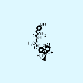 CN(CCNC(=O)[C@@H](N)Cc1ccc(O)cc1)C(=O)Oc1ccc2c3c1O[C@H]1C(=O)CC[C@@]4(O)C(C2)[N@+](C)(CC2CC2)CC[C@]314